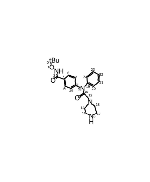 CC(C)(C)ONC(=O)c1ccc(N(C(=O)CN2CCNCC2)c2ccccc2)cc1